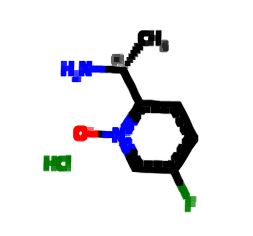 C[C@@H](N)c1ccc(F)c[n+]1[O-].Cl